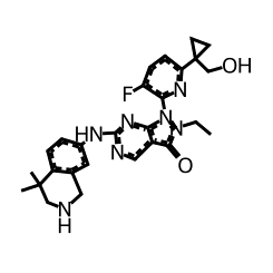 CCn1c(=O)c2cnc(Nc3ccc4c(c3)CNCC4(C)C)nc2n1-c1nc(C2(CO)CC2)ccc1F